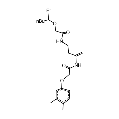 C=C(CCNC(=O)COC(CC)CCCC)NC(=O)COc1ccc(C)c(C)c1